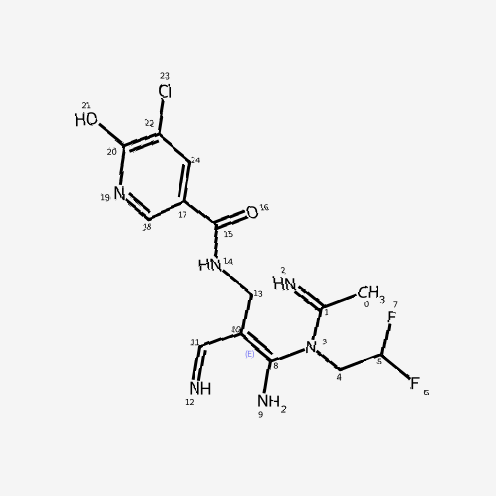 CC(=N)N(CC(F)F)/C(N)=C(/C=N)CNC(=O)c1cnc(O)c(Cl)c1